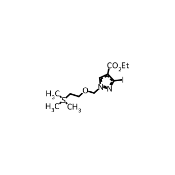 CCOC(=O)c1cn(COCCS(C)(C)C)nc1I